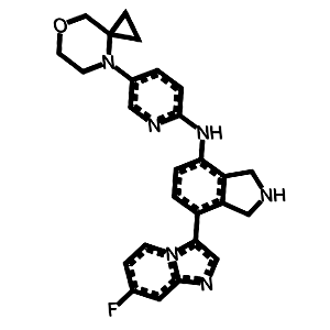 Fc1ccn2c(-c3ccc(Nc4ccc(N5CCOCC56CC6)cn4)c4c3CNC4)cnc2c1